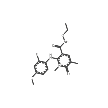 CCONC(=O)c1cc(C)c(=O)n(C)c1Nc1ccc(SC)cc1F